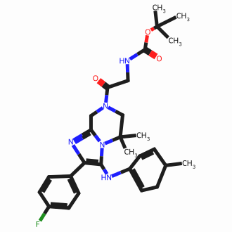 CC1C=CC(Nc2c(-c3ccc(F)cc3)nc3n2C(C)(C)CN(C(=O)CNC(=O)OC(C)(C)C)C3)=CC1